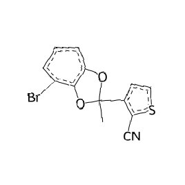 CC1(c2ccsc2C#N)Oc2cccc(Br)c2O1